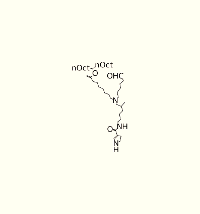 C=C(CCCCCCCN(CCCCCC=O)CC(C)CCCCNC(=O)C1=CNCC1)OC(CCCCCCCC)CCCCCCCC